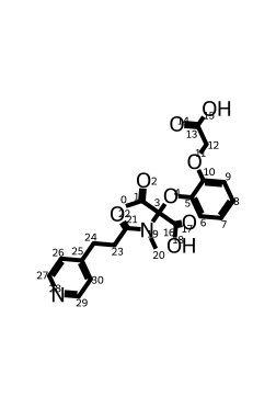 CC(=O)C(Oc1ccccc1OCC(=O)O)(C(=O)O)N(C)C(=O)CCc1ccncc1